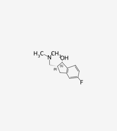 CN(C)C[C@H]1Cc2cc(F)ccc2[C@H]1O